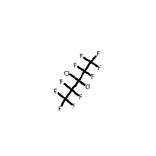 FC(F)(F)C(F)(F)C(Cl)(Cl)C(F)(F)C(F)(F)F